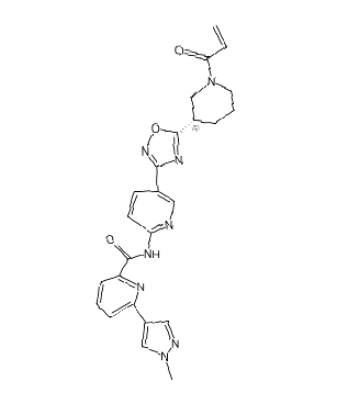 C=CC(=O)N1CCC[C@H](c2nc(-c3ccc(NC(=O)c4cccc(-c5cnn(C)c5)n4)nc3)no2)C1